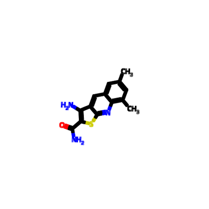 Cc1cc(C)c2nc3sc(C(N)=O)c(N)c3cc2c1